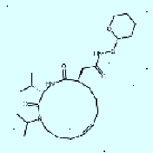 CC(C)[C@@H]1NC(=O)[C@@H](CC(=O)NOC2CCCCO2)CCCC=CCCCN(C(C)C)C1=O